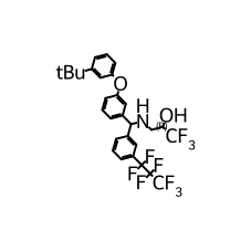 CC(C)(C)c1cccc(Oc2cccc(C(NC[C@@H](O)C(F)(F)F)c3cccc(C(F)(F)C(F)(F)C(F)(F)F)c3)c2)c1